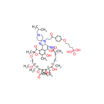 CO[C@H]1/C=C/O[C@@]2(C)Oc3c(C)c(O)c4c(c3C2=O)C2=NC3(CCN(CC(C)C)CC3)N(CCC(=O)c3ccc(OCCCCP(=O)(O)O)cc3)C2C(=C4O)NC(=O)/C(C)=C\C=C\[C@H](C)[C@H](O)[C@@H](C)[C@@H](O)[C@@H](C)[C@H](OC(C)=O)[C@@H]1C